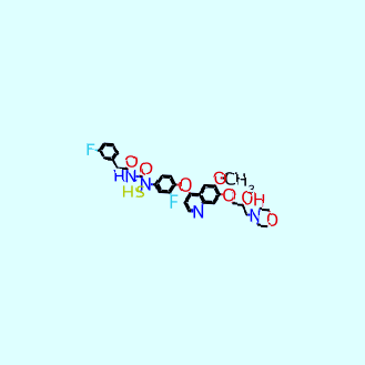 COc1cc2c(Oc3ccc(N(S)C(=O)NC(=O)Cc4cccc(F)c4)cc3F)ccnc2cc1OCC(O)CN1CCOCC1